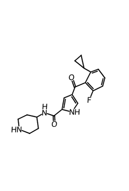 O=C(NC1CCNCC1)c1cc(C(=O)c2c(F)cccc2C2CC2)c[nH]1